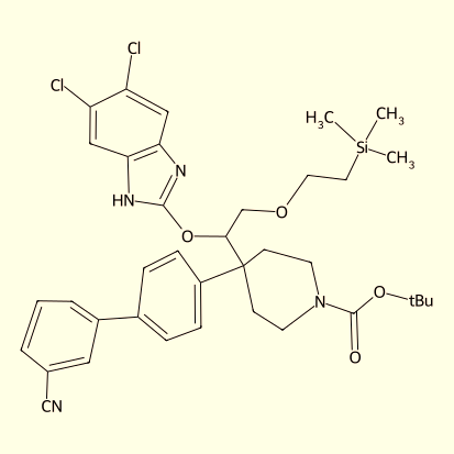 CC(C)(C)OC(=O)N1CCC(c2ccc(-c3cccc(C#N)c3)cc2)(C(COCC[Si](C)(C)C)Oc2nc3cc(Cl)c(Cl)cc3[nH]2)CC1